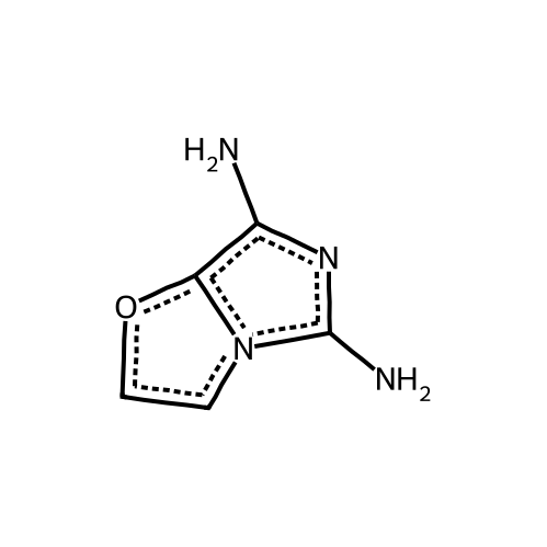 Nc1nc(N)n2ccoc12